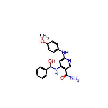 COc1ccc(Nc2cc(N[C@H](O)c3ccccc3)c(C(N)=O)cn2)cc1